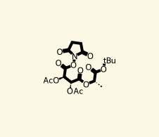 CC(=O)O[C@@H](C(=O)O[C@@H](C)C(=O)OC(C)(C)C)[C@@H](OC(C)=O)C(=O)ON1C(=O)CCC1=O